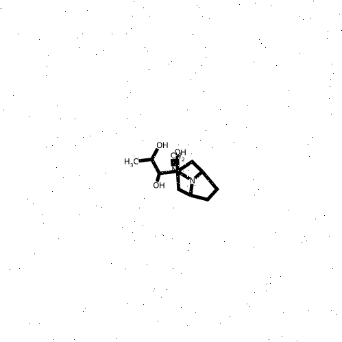 C=NN1C2CCC1CC(O)(C(O)C(C)O)C2